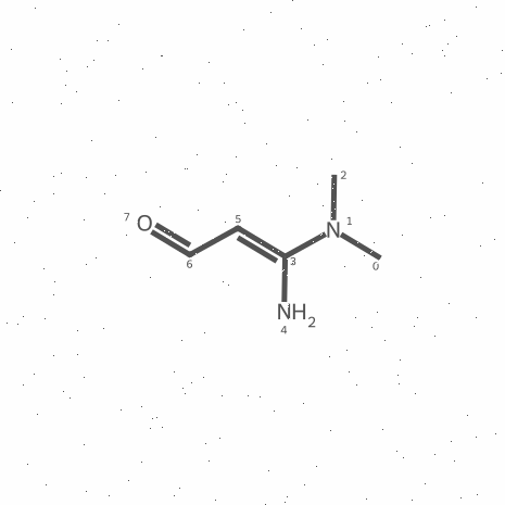 CN(C)C(N)=CC=O